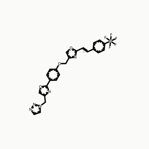 FS(F)(F)(F)(F)c1ccc(/C=C/c2nc(COc3ccc(-c4nc(Cn5ccnn5)co4)cc3)co2)cc1